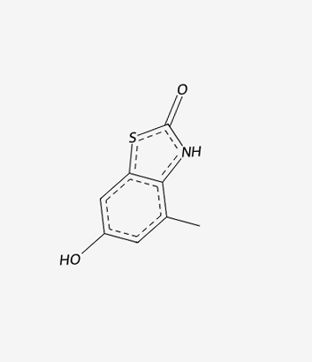 Cc1cc(O)cc2sc(=O)[nH]c12